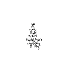 Cc1nc(-c2cc(C(=O)Nc3ncc(C4CC4)cn3)c(F)cc2C)c(C(N)=O)s1